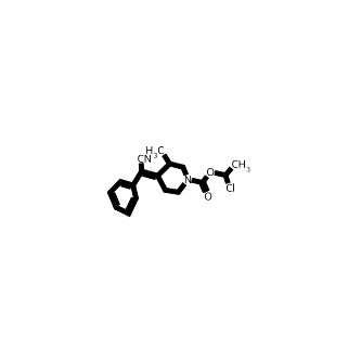 CC(Cl)OC(=O)N1CC/C(=C(/C#N)c2ccccc2)C(C)C1